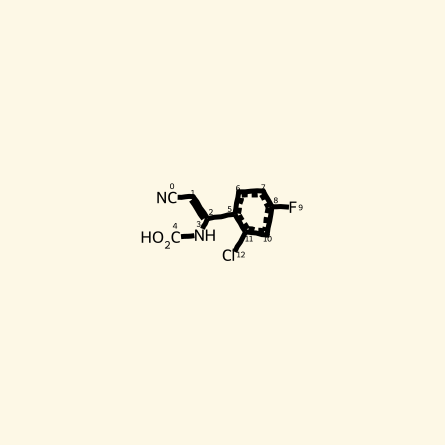 N#C/C=C(\NC(=O)O)c1ccc(F)cc1Cl